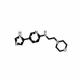 c1ncc(-c2ccc(NCCN3CCOCC3)nc2)[nH]1